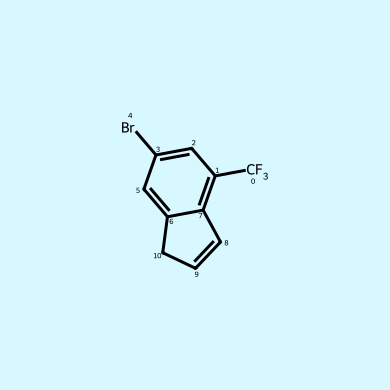 FC(F)(F)c1cc(Br)cc2c1C=CC2